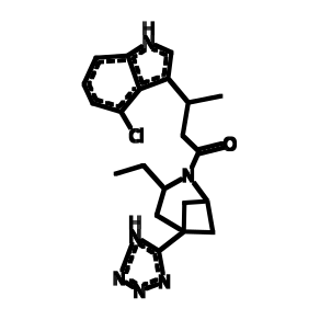 CCC1CC2(c3nnn[nH]3)CC(C2)N1C(=O)CC(C)c1c[nH]c2cccc(Cl)c12